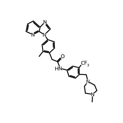 Cc1cc(-n2cnc3cccnc32)ccc1CC(=O)Nc1ccc(CN2CCN(C)CC2)c(C(F)(F)F)c1